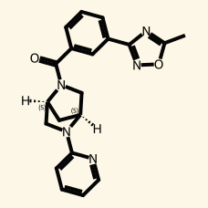 Cc1nc(-c2cccc(C(=O)N3C[C@@H]4C[C@H]3CN4c3ccccn3)c2)no1